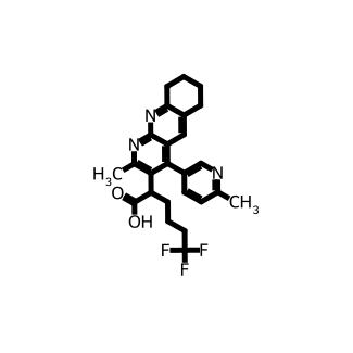 Cc1ccc(-c2c(C(CCCC(F)(F)F)C(=O)O)c(C)nc3nc4c(cc23)CCCC4)cn1